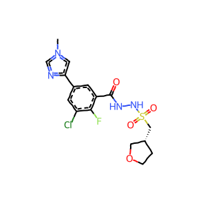 Cn1cnc(-c2cc(Cl)c(F)c(C(=O)NNS(=O)(=O)C[C@@H]3CCOC3)c2)c1